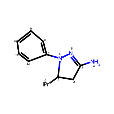 CC(C)C1CC(N)=NN1c1ccccc1